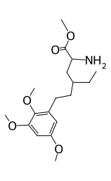 CCC(CCc1cc(OC)cc(OC)c1OC)CC(N)C(=O)OC